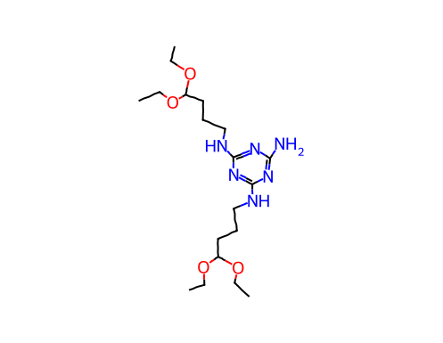 CCOC(CCCNc1nc(N)nc(NCCCC(OCC)OCC)n1)OCC